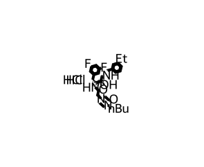 CCCCN1CCN(CC(=O)N[C@@H](Cc2cc(F)cc(F)c2)[C@H](O)CNCc2cccc(CC)c2)CC1=O.Cl.Cl